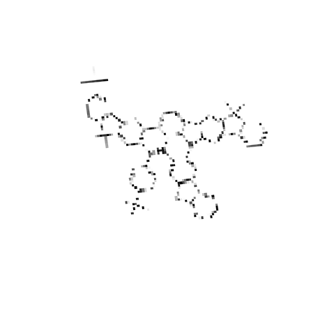 CC(C)(C)c1ccc(Nc2cc3c(cc2-c2ccc4c5cc6c(cc5n5c4c2Bc2cc4sc7ccccc7c4cc2-5)-c2ccccc2C6(C)C)-c2cc(C(C)(C)C)ccc2C3(C)C)cc1